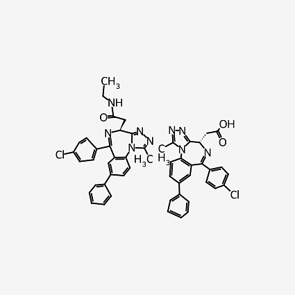 CCNC(=O)C[C@@H]1N=C(c2ccc(Cl)cc2)c2cc(-c3ccccc3)ccc2-n2c(C)nnc21.Cc1nnc2n1-c1ccc(-c3ccccc3)cc1C(c1ccc(Cl)cc1)=N[C@H]2CC(=O)O